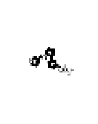 O=C(O)Nc1cccc(-c2ccccc2OCC2CN3CCC2CC3)c1